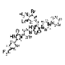 Nc1c(Br)cc(C[C@@H](NC(=O)N2CCC(n3cc(-c4ccc(C(F)(F)F)cc4)[nH]c3=O)CC2)C(=O)N2CCN(N3CCCCC3)CC2)cc1Br